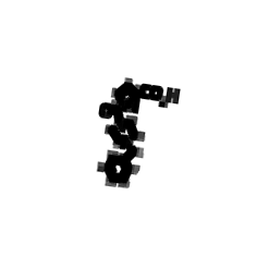 O=C(O)c1ccn(C(=O)N2CCN(Cc3ccccc3)CC2)n1